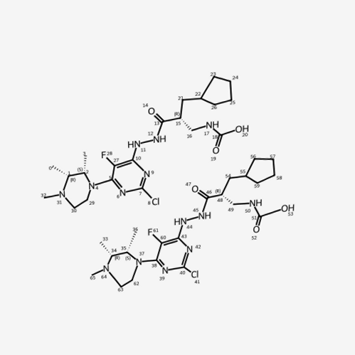 C[C@@H]1[C@H](C)N(c2nc(Cl)nc(NNC(=O)[C@@H](CNC(=O)O)CC3CCCC3)c2F)CCN1C.C[C@@H]1[C@H](C)N(c2nc(Cl)nc(NNC(=O)[C@@H](CNC(=O)O)CC3CCCC3)c2F)CCN1C